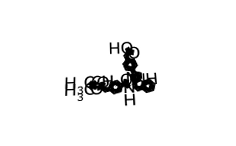 CC(C)(C)OC(=O)CC1CCC(C(=O)NC(Cc2ccccc2)c2nc(-c3ccc(CC(=O)O)cc3)c[nH]2)CC1